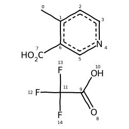 Cc1ccncc1C(=O)O.O=C(O)C(F)(F)F